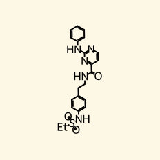 CCS(=O)(=O)Nc1ccc(CCNC(=O)c2ccnc(Nc3ccccc3)n2)cc1